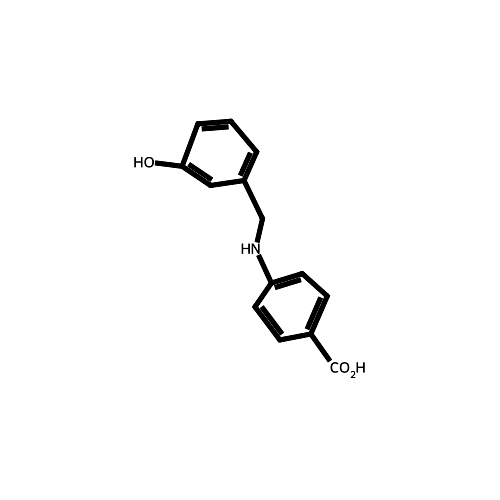 O=C(O)c1ccc(NCc2cccc(O)c2)cc1